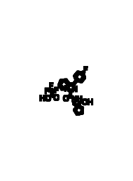 O=C(NCC1(CO)CCCC1)c1nc(-c2ccc(F)cc2)c2ccccn12.O=C(O)C(F)(F)F